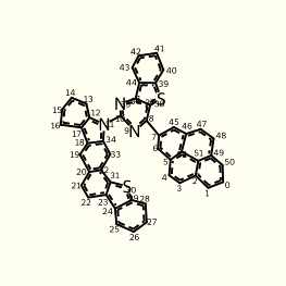 c1cc2ccc3cc(-c4nc(-n5c6ccccc6c6cc7ccc8c9ccccc9sc8c7cc65)nc5c4sc4ccccc45)cc4ccc(c1)c2c34